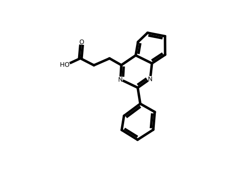 O=C(O)CCc1nc(-c2ccccc2)nc2ccccc12